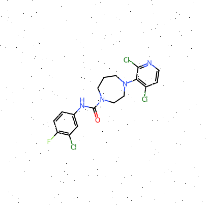 O=C(Nc1ccc(F)c(Cl)c1)N1CCCN(c2c(Cl)ccnc2Cl)CC1